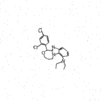 CCN(CC)c1cccc2nc3n(c12)CCCOC3c1ccc(Cl)cc1Cl